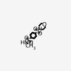 CNS(=O)(=O)c1ccc(S(=O)(=O)N2CCOCC2)cc1